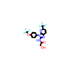 O=C(CO)Nc1nc2ccc(C(F)(F)F)nc2n1-c1ccc(OC(F)(F)F)cc1